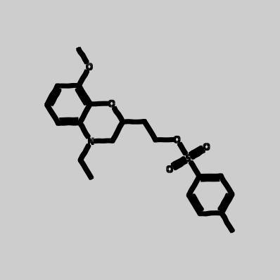 CCN1CC(CCOS(=O)(=O)c2ccc(C)cc2)Oc2c(OC)cccc21